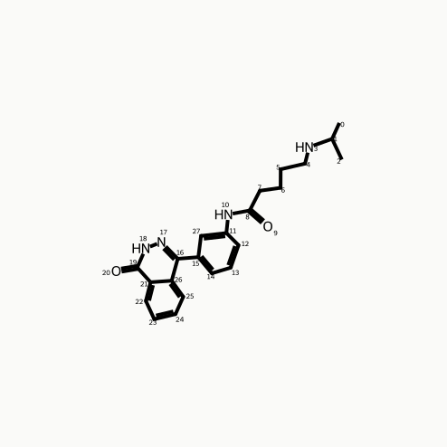 CC(C)NCCCCC(=O)Nc1cccc(-c2n[nH]c(=O)c3ccccc23)c1